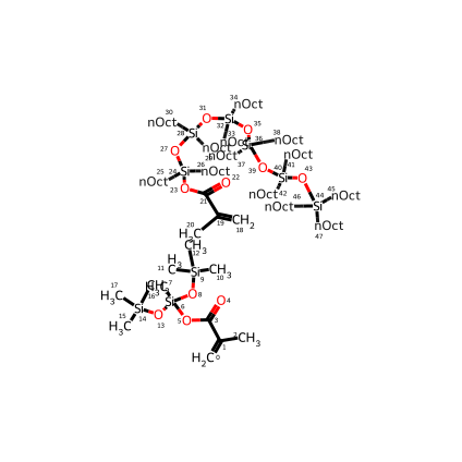 C=C(C)C(=O)O[Si](C)(O[Si](C)(C)C)O[Si](C)(C)C.C=C(C)C(=O)O[Si](CCCCCCCC)(CCCCCCCC)O[Si](CCCCCCCC)(CCCCCCCC)O[Si](CCCCCCCC)(CCCCCCCC)O[Si](CCCCCCCC)(CCCCCCCC)O[Si](CCCCCCCC)(CCCCCCCC)O[Si](CCCCCCCC)(CCCCCCCC)CCCCCCCC